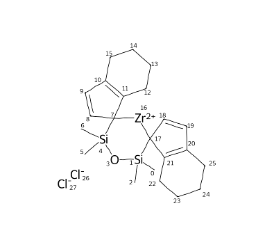 C[Si]1(C)O[Si](C)(C)[C]2(C=CC3=C2CCCC3)[Zr+2][C]12C=CC1=C2CCCC1.[Cl-].[Cl-]